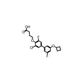 O=C(O)CCCOc1c(F)cc(-c2cc(F)cc(OC3CCC3)c2)cc1Cl